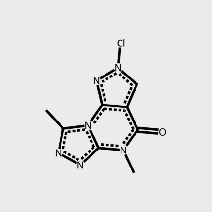 Cc1nnc2n(C)c(=O)c3cn(Cl)nc3n12